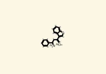 C=C(CC(N)c1ccccc1)c1coc2ccccc12.Cl